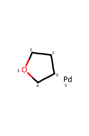 C1CCOC1.[Pd]